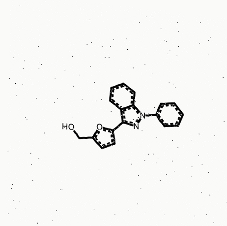 OCc1ccc(-c2nn(-c3ccccc3)c3ccccc23)o1